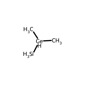 [CH3][GeH]([CH3])[SiH3]